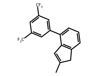 CC1=Cc2c(cccc2-c2cc(C(F)(F)F)cc(C(F)(F)F)c2)C1